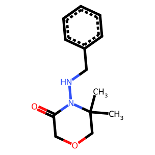 CC1(C)COCC(=O)N1NCc1ccccc1